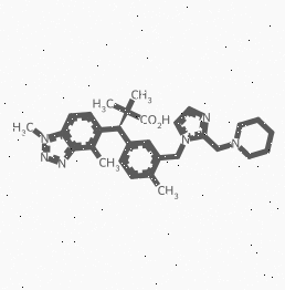 Cc1ccc([C@@H](c2ccc3c(nnn3C)c2C)C(C)(C)C(=O)O)cc1Cn1ccnc1CN1CCCCC1